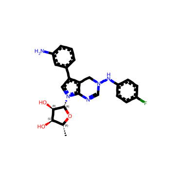 C[C@H]1O[C@@H](n2cc(-c3cccc(N)c3)c3c2N=CN(Nc2ccc(F)cc2)C3)[C@H](O)[C@@H]1O